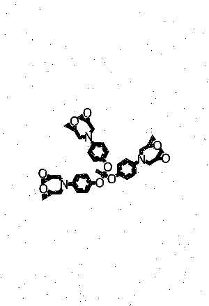 CC(Oc1ccc(N(CC2CO2)CC2CO2)cc1)(Oc1ccc(N(CC2CO2)CC2CO2)cc1)Oc1ccc(N(CC2CO2)CC2CO2)cc1